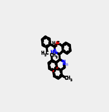 Cc1ccccc1/C=N\C(c1ccccc1C)C(NC(=O)c1ccccc1C)c1ccccc1C